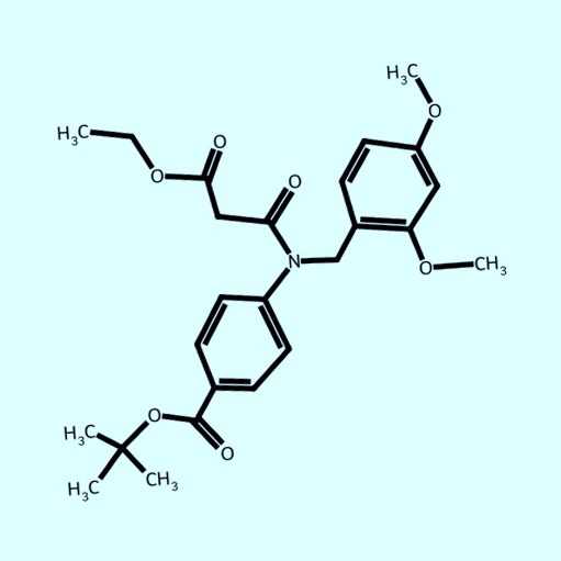 CCOC(=O)CC(=O)N(Cc1ccc(OC)cc1OC)c1ccc(C(=O)OC(C)(C)C)cc1